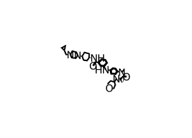 C[C@@H]1C(=O)N(C)c2ccc(Nc3cccc(C(=O)N[C@H]4CC[C@H](N5CCN(CC6CC6)CC5)CC4)c3)cc2N1C1CCOCC1